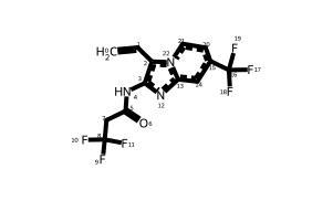 C=Cc1c(NC(=O)CC(F)(F)F)nc2cc(C(F)(F)F)ccn12